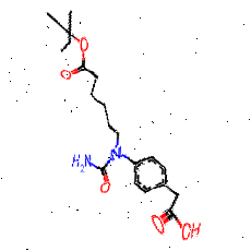 CC(C)(C)OC(=O)CCCCCN(C(N)=O)c1ccc(CC(=O)O)cc1